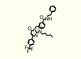 CCCCCNc1nc(-c2ccc(C(F)(F)F)cc2)cc(=O)n1Cc1cccc(C(=O)NCCc2ccccc2)c1